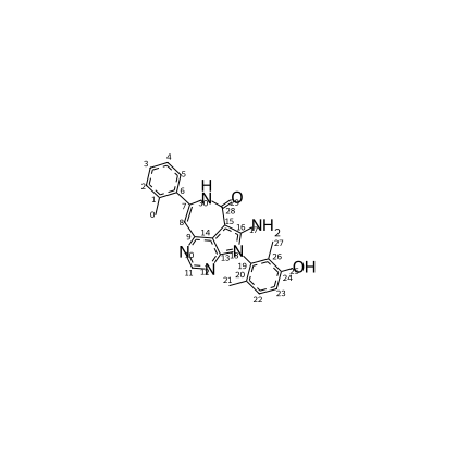 Cc1ccccc1C1=Cc2ncnc3c2c(c(N)n3-c2c(C)ccc(O)c2C)C(=O)N1